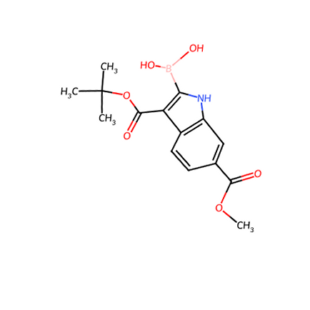 COC(=O)c1ccc2c(C(=O)OC(C)(C)C)c(B(O)O)[nH]c2c1